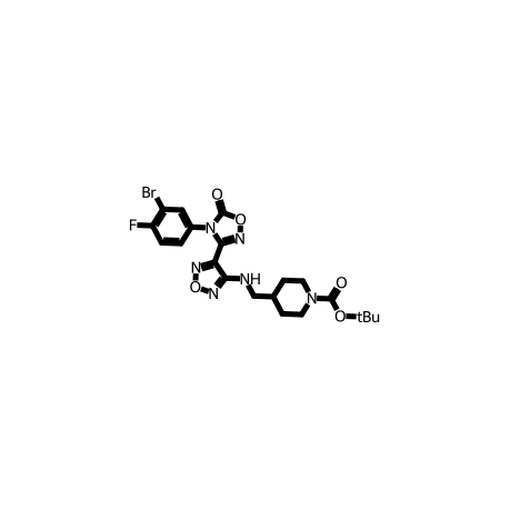 CC(C)(C)OC(=O)N1CCC(CNc2nonc2-c2noc(=O)n2-c2ccc(F)c(Br)c2)CC1